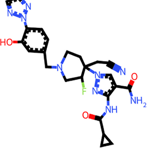 N#CCC1(n2cc(C(N)=O)c(NC(=O)C3CC3)n2)CCN(Cc2ccc(-n3nccn3)c(O)c2)CC1F